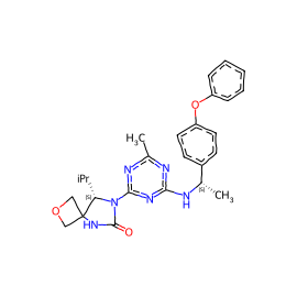 Cc1nc(N[C@@H](C)c2ccc(Oc3ccccc3)cc2)nc(N2C(=O)NC3(COC3)[C@@H]2C(C)C)n1